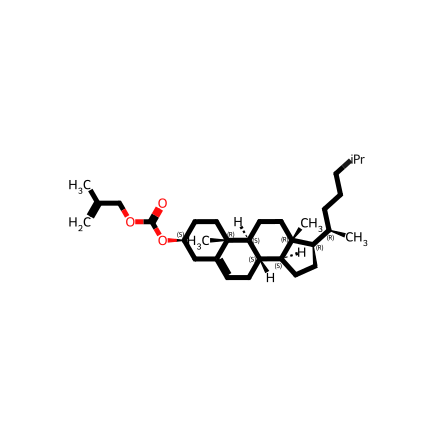 C=C(C)COC(=O)O[C@H]1CC[C@@]2(C)C(=CC[C@H]3[C@@H]4CC[C@H]([C@H](C)CCCC(C)C)[C@@]4(C)CC[C@@H]32)C1